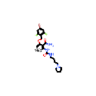 CC/C=C(OCc1c(F)cc(Br)cc1F)\C(C(N)=O)=C(\NC(=O)NCCCCN1CCCC1)SC